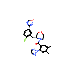 Cc1cc(C(=O)N2CCOCC2Cc2cc(-c3ncon3)ccc2F)c(-n2nccn2)cc1C